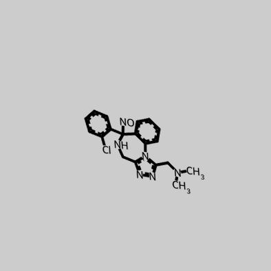 CN(C)Cc1nnc2n1-c1ccccc1C(c1ccccc1Cl)([N+](=O)[O-])NC2